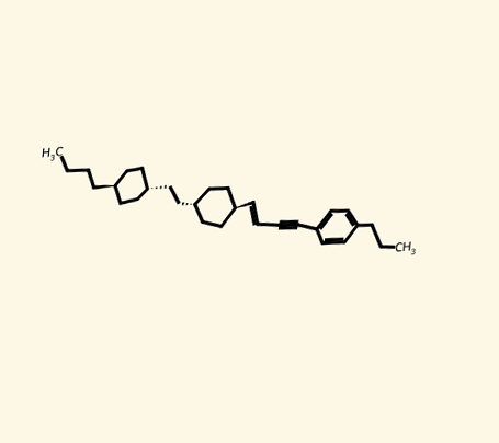 CCCC[C@H]1CC[C@H](CC[C@H]2CC[C@H](C=CC#Cc3ccc(CCC)cc3)CC2)CC1